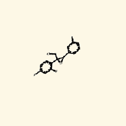 Cc1cccc(C2OC2(CCl)c2ccc(F)cc2F)c1